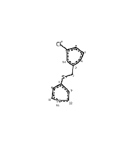 Clc1cccc(CSc2ccncc2)c1